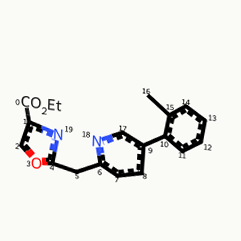 CCOC(=O)c1coc(Cc2ccc(-c3ccccc3C)cn2)n1